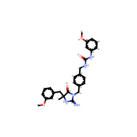 COc1cccc(CC2(C)NC(=N)N(Cc3ccc(CNC(=O)Nc4cccc(OC)c4)cc3)C2=O)c1